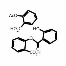 CC(=O)Oc1ccccc1C(=O)O.O=C(Oc1ccccc1C(=O)O)c1ccccc1O